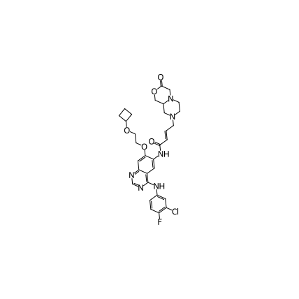 O=C(C=CCN1CCN2CC(=O)OCC2C1)Nc1cc2c(Nc3ccc(F)c(Cl)c3)ncnc2cc1OCCOC1CCC1